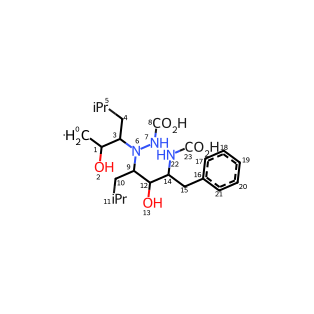 [CH2]C(O)C(CC(C)C)N(NC(=O)O)C(CC(C)C)C(O)C(Cc1ccccc1)NC(=O)O